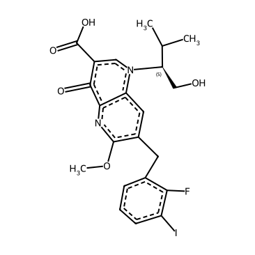 COc1nc2c(=O)c(C(=O)O)cn([C@H](CO)C(C)C)c2cc1Cc1cccc(I)c1F